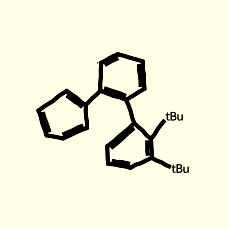 CC(C)(C)c1cccc(-c2ccc[c]c2-c2ccccc2)c1C(C)(C)C